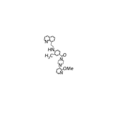 COc1ncccc1N1CCN(C(=O)c2ccc(NCCc3cccc4cccnc34)c(C)c2)CC1